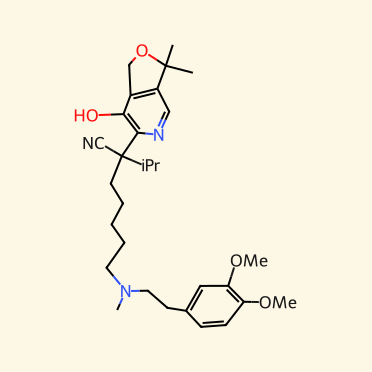 COc1ccc(CCN(C)CCCCCC(C#N)(c2ncc3c(c2O)COC3(C)C)C(C)C)cc1OC